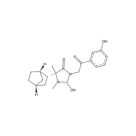 CN1C(O)N(CC(=O)c2cccc(O)c2)C(=O)C1(C)[C@@H]1C[C@@H]2CC[C@H]1C2